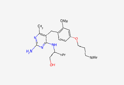 CCCC(CO)Nc1nc(N)nc(C)c1Cc1ccc(OCCCNC)cc1OC